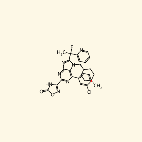 CC(F)(c1ccccn1)c1nc2nc(-c3noc(=O)[nH]3)nc(-c3cccc(Cl)c3)c2n1C[C@H]1CC[C@H](C)CC1